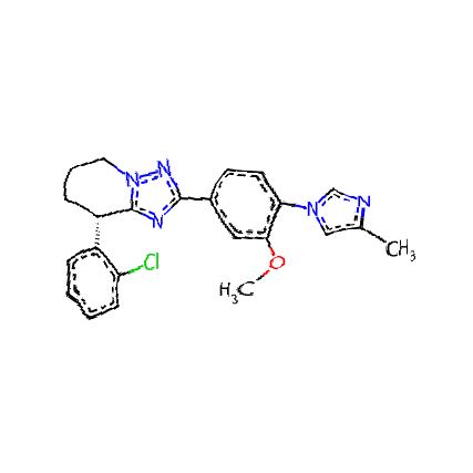 COc1cc(-c2nc3n(n2)CCC[C@H]3c2ccccc2Cl)ccc1-n1cnc(C)c1